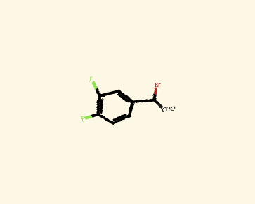 O=CC(Br)c1ccc(F)c(F)c1